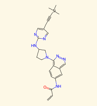 C=CC(=O)Nc1ccc2c(N3CCC(Nc4ncc(C#C[Si](C)(C)C)cn4)C3)nncc2c1